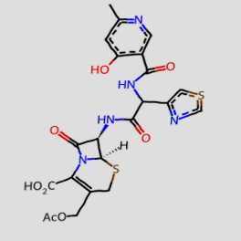 CC(=O)OCC1=C(C(=O)O)N2C(=O)[C@@H](NC(=O)C(NC(=O)c3cnc(C)cc3O)c3cscn3)[C@H]2SC1